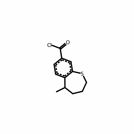 CC1CCCSc2cc(C(=O)Cl)ccc21